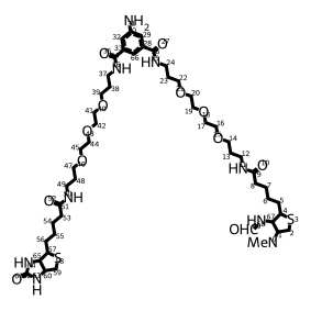 CNC1CSC(CCCCC(=O)NCCCOCCOCCOCCCNC(=O)c2cc(N)cc(C(=O)NCCCOCCOCCOCCCNC(=O)CCCCC3SCC4NC(=O)NC43)c2)C1NC=O